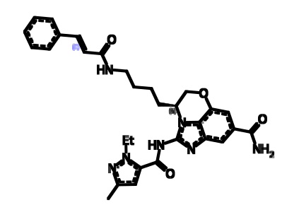 CCn1nc(C)cc1C(=O)Nc1nc2cc(C(N)=O)cc3c2n1[C@@H](CCCCNC(=O)/C=C/c1ccccc1)CO3